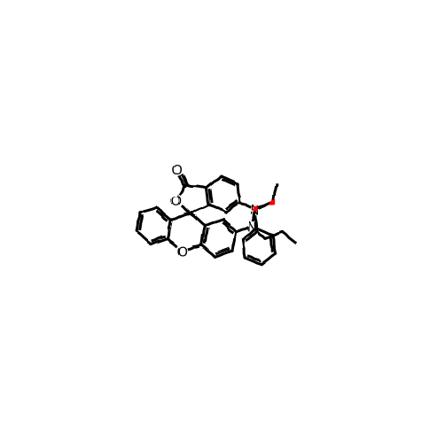 CCCN(CCC)c1ccc2c(c1)C1(OC(=O)c3ccc(N(C)c4ccccc4)cc31)c1ccccc1O2